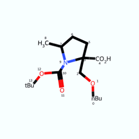 CCCCOCC1(C(=O)O)CCC(C)N1C(=O)OC(C)(C)C